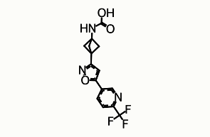 O=C(O)NC12CC(c3cc(-c4ccc(C(F)(F)F)nc4)on3)(C1)C2